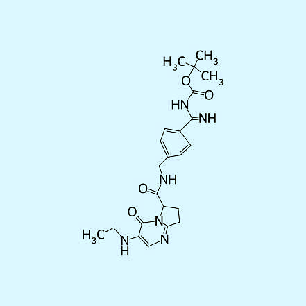 CCNc1cnc2n(c1=O)C(C(=O)NCc1ccc(C(=N)NC(=O)OC(C)(C)C)cc1)CC2